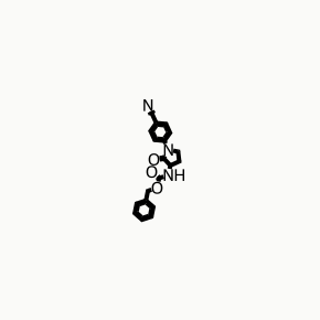 N#Cc1ccc(N2CCC(NC(=O)OCc3ccccc3)C2=O)cc1